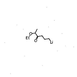 [Li][CH2]CCC(=O)C(C)OCC